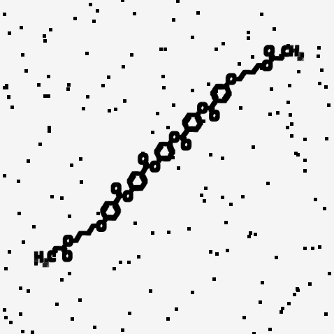 C=CC(=O)OCCCCOc1ccc(C(=O)Oc2ccc(C(=O)Oc3ccc(OC(=O)c4ccc(OC(=O)c5ccc(OCCCCOC(=O)C=C)cc5)cc4)cc3)cc2)cc1